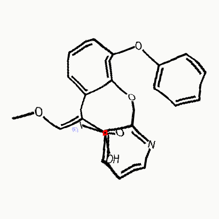 CO/C=C(/C(=O)O)c1cccc(Oc2ccccc2)c1Oc1ncccc1I